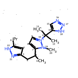 CC(C)c1cc(CC(C)c2cc[n+](C(C)(C)c3cnn[nH]3)n2C)n[nH]1